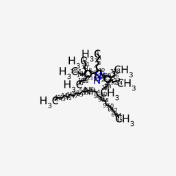 CCCCCC1=C(c2cc(CCC)c(CCC)c(CCC)c2)[N+](=[N-])C(c2cc(CCC)c(CCC)c(CCC)c2)=C1.CCCCCCCCCCC[CH2][Ni][CH2]CCCCCCCCCCC